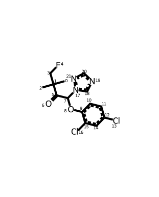 CC(C)(CF)C(=O)C(Oc1ccc(Cl)cc1Cl)n1cncn1